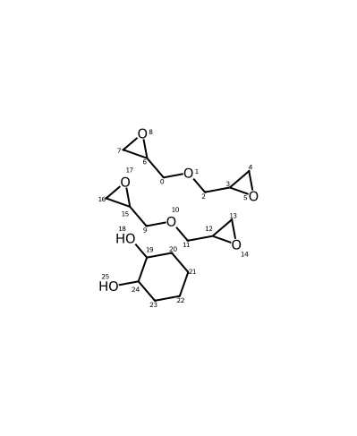 C(OCC1CO1)C1CO1.C(OCC1CO1)C1CO1.OC1CCCCC1O